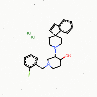 Cl.Cl.OC1CCN(Cc2ccccc2F)CC1N1CCC2(C=Cc3ccccc32)CC1